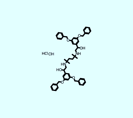 CC(C)(CCC(C)(C)NCC(O)c1cc(OCc2ccccc2)cc(OCc2ccccc2)c1)NCC(O)c1cc(OCc2ccccc2)cc(OCc2ccccc2)c1.Cl.Cl